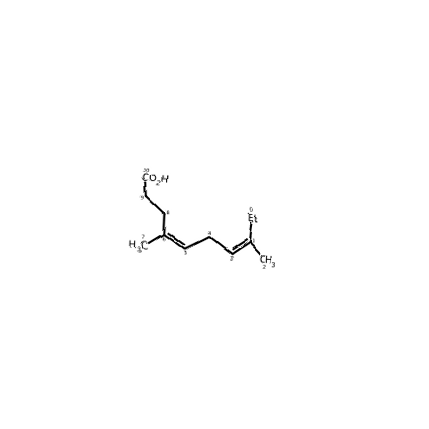 CC/C(C)=C\C/C=C(/C)CCC(=O)O